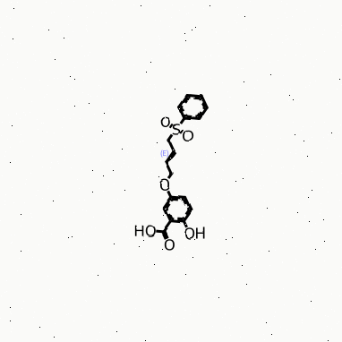 O=C(O)c1cc(OC/C=C/CS(=O)(=O)c2ccccc2)ccc1O